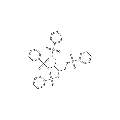 O=S(=O)(OCC(OS(=O)(=O)c1ccccc1)C(COS(=O)(=O)c1ccccc1)OS(=O)(=O)c1ccccc1)c1ccccc1